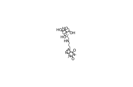 Cn1c(=O)c2c(ncn2CCCNCC(O)C[C@]23OC[C@@H](O)[C@H]2OC[C@@H]3O)n(C)c1=O